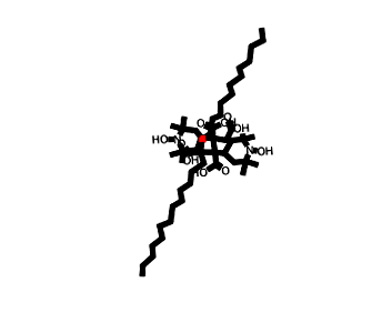 CCCCCCCCCCCCCC(CCCCCCCCCCCCC)(C(=O)O)C(C(=O)O)(C1CC(C)(C)N(O)C(C)(C)C1)C(CC(=O)O)(C(=O)O)C1CC(C)(C)N(O)C(C)(C)C1